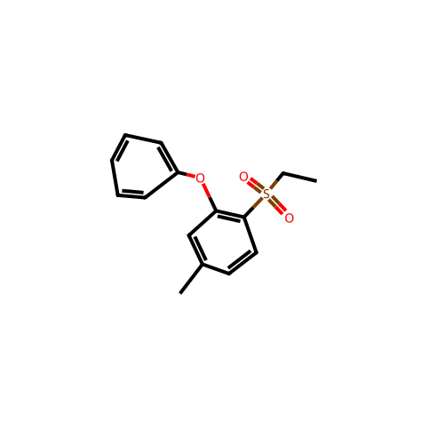 CCS(=O)(=O)c1ccc(C)cc1Oc1ccccc1